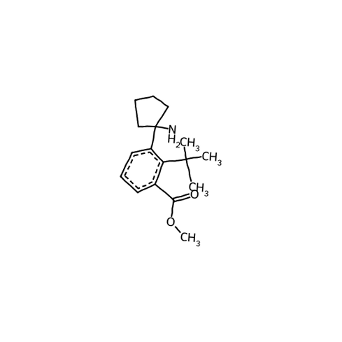 COC(=O)c1cccc(C2(N)CCCC2)c1C(C)(C)C